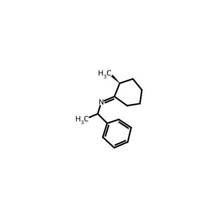 CC(N=C1CCCC[C@@H]1C)c1ccccc1